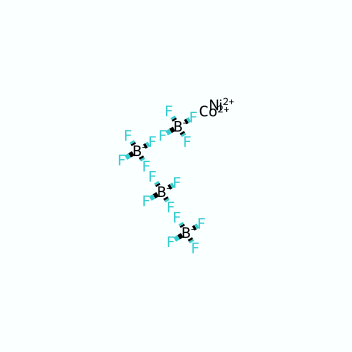 F[B-](F)(F)F.F[B-](F)(F)F.F[B-](F)(F)F.F[B-](F)(F)F.[Co+2].[Ni+2]